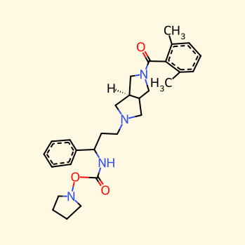 Cc1cccc(C)c1C(=O)N1CC2CN(CCC(NC(=O)ON3CCCC3)c3ccccc3)C[C@H]2C1